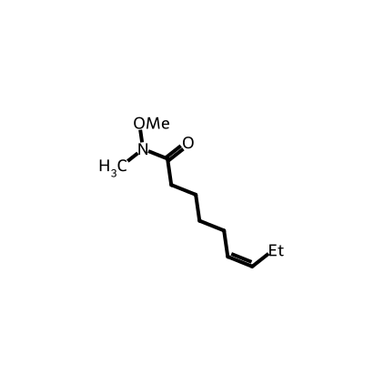 CC/C=C\CCCCC(=O)N(C)OC